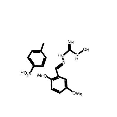 COc1ccc(OC)c(C=NNC(=N)NO)c1.Cc1ccc(S(=O)(=O)O)cc1